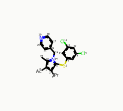 CC(=O)c1c(C(C)C)c(Sc2cc(Cl)cc(Cl)c2)n(Cc2ccncc2)c1C